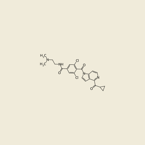 CN(C)CCNC(=O)c1cc(Cl)c(C(=O)n2ccc3c(C(=O)C4CC4)nccc32)c(Cl)c1